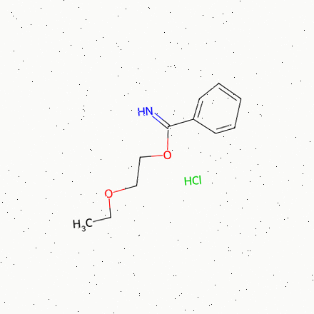 CCOCCOC(=N)c1ccccc1.Cl